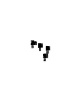 [B].[B].[Si].[Zn]